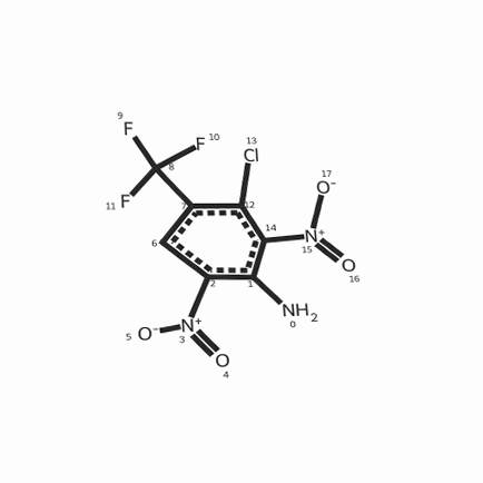 Nc1c([N+](=O)[O-])cc(C(F)(F)F)c(Cl)c1[N+](=O)[O-]